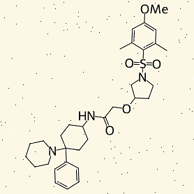 COc1cc(C)c(S(=O)(=O)N2CCC(OCC(=O)NC3CCC(c4ccccc4)(N4CCCCC4)CC3)C2)c(C)c1